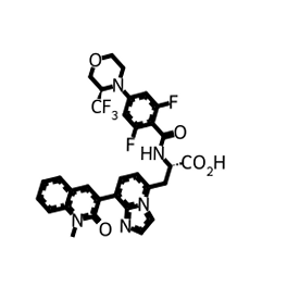 Cn1c(=O)c(-c2ccc(C[C@H](NC(=O)c3c(F)cc(N4CCOC[C@@H]4C(F)(F)F)cc3F)C(=O)O)n3ccnc23)cc2ccccc21